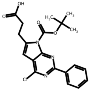 CC(C)(C)OC(=O)n1c(CCC(=O)O)cc2c(Cl)nc(-c3ccccc3)nc21